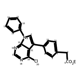 CCOC(=O)Cc1ccc(-c2cn(-c3ccccc3)c3ncnc(Cl)c23)cc1